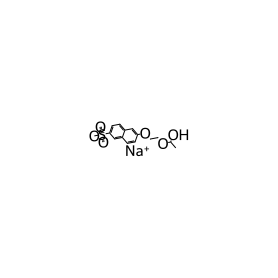 CC(O)OCCOc1ccc2cc(S(=O)(=O)[O-])ccc2c1.[Na+]